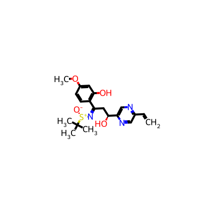 C=Cc1cnc([C@@H](O)CC(=N[S@@+]([O-])C(C)(C)C)c2ccc(OC)cc2O)cn1